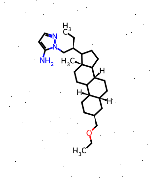 CCOC[C@H]1CC[C@@H]2C3CC[C@]4(C)C([C@H](CC)Cn5nccc5N)CCC4[C@@H]3CC[C@@H]2C1